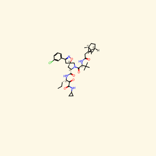 CCC[C@H](NC(=O)[C@@H]1C[C@]2(CC(c3cccc(Cl)c3)=NO2)CN1C(=O)[C@@H](NC(=O)CC1C[C@H]2CC[C@]1(C)C2(C)C)C(C)(C)C)C(=O)C(=O)NC1CC1